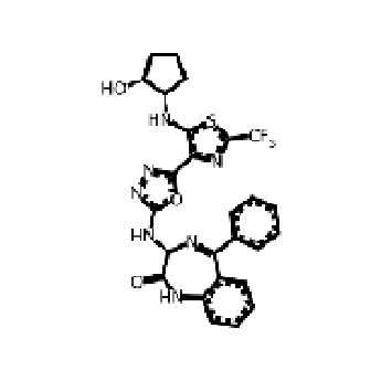 O=C1Nc2ccccc2C(c2ccccc2)=N[C@@H]1Nc1nnc(-c2nc(C(F)(F)F)sc2N[C@@H]2CCC[C@@H]2O)o1